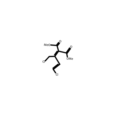 COC(=O)C(C(=O)OC)=C(C=CCl)CCl